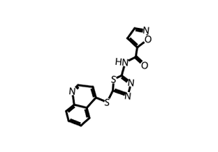 O=C(Nc1nnc(Sc2ccnc3ccccc23)s1)c1ccno1